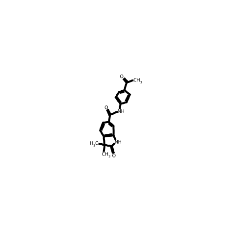 CC(=O)c1ccc(NC(=O)c2ccc3c(c2)NC(=O)C3(C)C)cc1